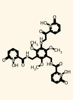 COc1c(CNC(=O)c2cccc(=O)n2O)c(OC)c(NCC(=O)c2cccc(=O)n2O)c(OC)c1CNC(=O)c1cccc(=O)n1O